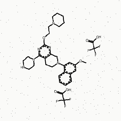 COc1cc(N2CCc3c(nc(OCCN4CCCCC4)nc3N3CCNCC3)C2)c2ccccc2c1.O=C(O)C(F)(F)F.O=C(O)C(F)(F)F